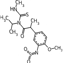 CNC(=S)N(C(=O)C(C)c1ccc(OC)c(N=S(=O)=O)c1)C(C)C